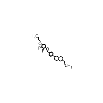 CCCCOc1ccc(OCc2ccc(C3CCC4CC(CCC)CCC4C3)cc2)c(F)c1F